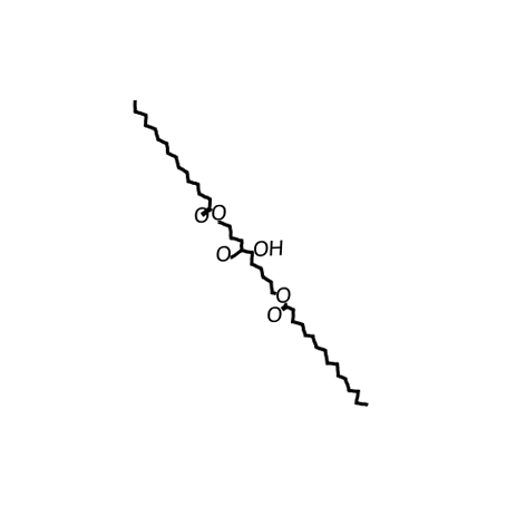 CCCCCCCCCCCCCCCC(=O)OCCCCCC(O)C(C=O)CCCCOC(=O)CCCCCCCCCCCCCCC